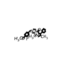 COc1ccc(CN2CCN(C(=O)c3c(-c4ccccc4)c(C)cn3C)CC2)cc1F